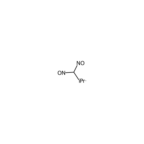 C[C](C)C(N=O)N=O